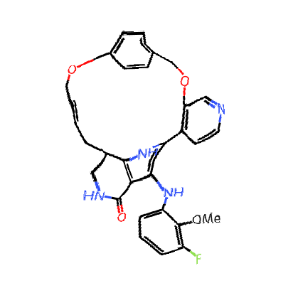 COc1c(F)cccc1Nc1c2[nH]c3c1C(=O)NCC3C/C=C\COc1ccc(cc1)COc1cnccc1-2